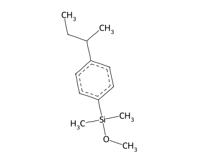 CCC(C)c1ccc([Si](C)(C)OC)cc1